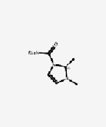 CNC(=O)N1C=CN(C)[C@@H]1C